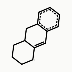 [C]1CCCC2Cc3ccccc3C=C12